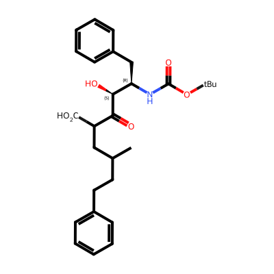 CC(CCc1ccccc1)CC(C(=O)O)C(=O)[C@@H](O)[C@@H](Cc1ccccc1)NC(=O)OC(C)(C)C